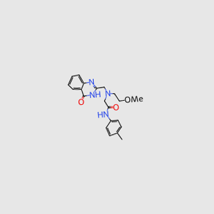 COCCN(CC(=O)Nc1ccc(C)cc1)Cc1nc2ccccc2c(=O)[nH]1